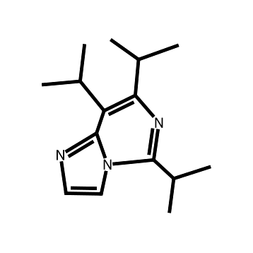 CC(C)c1nc(C(C)C)n2ccnc2c1C(C)C